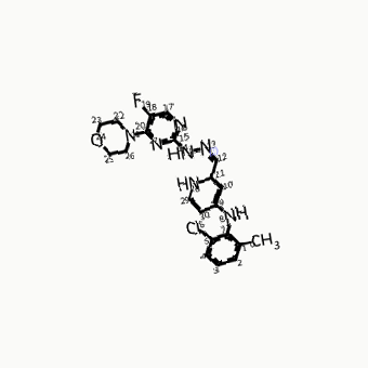 Cc1cccc(Cl)c1NC1=CC(/C=N\Nc2ncc(F)c(N3CCOCC3)n2)NC=C1